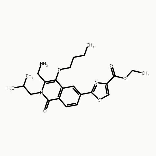 CCCCOc1c(CN)n(CC(C)C)c(=O)c2ccc(-c3nc(C(=O)OCC)cs3)cc12